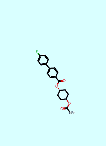 CCCC(=O)O[C@H]1CC[C@H](OC(=O)c2ccc(-c3ccc(F)cc3)cc2)CC1